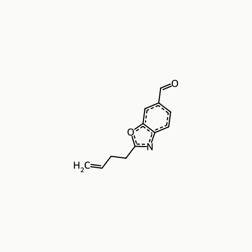 C=CCCc1nc2ccc(C=O)cc2o1